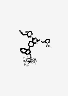 CN1CCCC1COc1nc2c(c(N3CCNC(CC#N)C3)n1)CCC(c1cc(O[Si](C)(C)C(C)(C)C)cc3ccccc13)C2